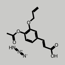 C=CCOc1cc(C=CC(=O)O)ccc1OC(C)=O.[N-]=[N+]=N